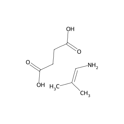 CC(C)=CN.O=C(O)CCC(=O)O